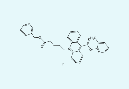 Cc1ccccc1OC(=O)c1c2ccccc2[n+](CCCCC(=O)OCc2ccccc2)c2ccccc12.[I-]